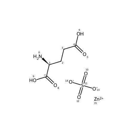 N[C@@H](CCC(=O)O)C(=O)O.O=S(=O)([O-])[O-].[Zn+2]